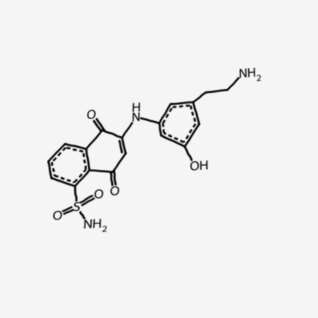 NCCc1cc(O)cc(NC2=CC(=O)c3c(cccc3S(N)(=O)=O)C2=O)c1